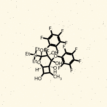 CC[Si](CC)(CC)[C@@]1(OC(C)=O)O[C@@H]2C(O)C(C)[C@]2(O)[C@@](O)(Oc2c(F)c(F)c(F)c(F)c2F)[C@]1(O)Oc1c(F)c(F)c(F)c(F)c1F